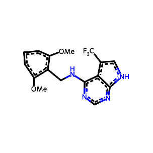 COc1cccc(OC)c1CNc1ncnc2[nH]cc(C(F)(F)F)c12